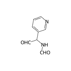 O=CNC(C=O)c1cccnc1